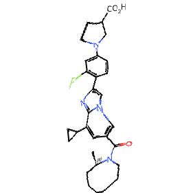 C[C@@H]1CCCCCN1C(=O)c1cc(C2CC2)c2nc(-c3ccc(N4CCC(C(=O)O)C4)cc3F)cn2c1